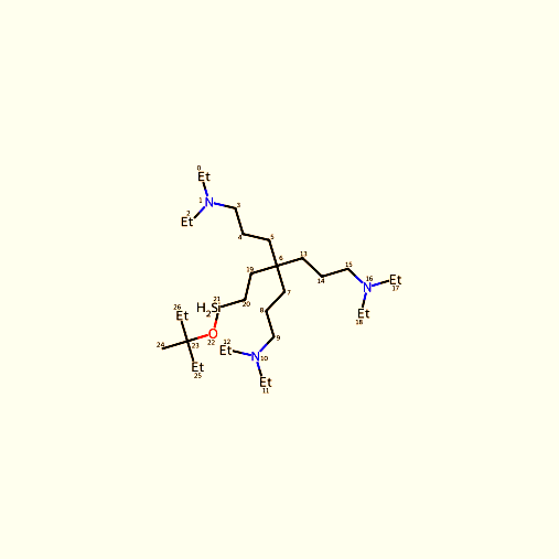 CCN(CC)CCCC(CCCN(CC)CC)(CCCN(CC)CC)CC[SiH2]OC(C)(CC)CC